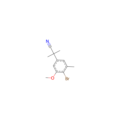 COc1cc(C(C)(C)C#N)cc(C)c1Br